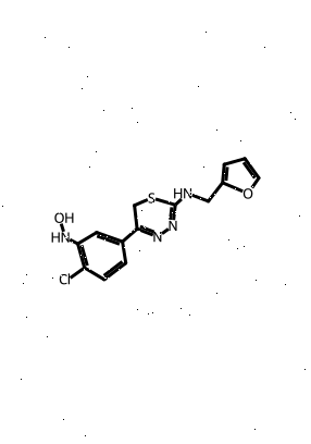 ONc1cc(C2=NN=C(NCc3ccco3)SC2)ccc1Cl